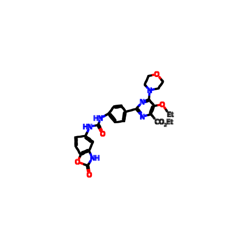 CCOC(=O)c1nc(-c2ccc(NC(=O)Nc3ccc4oc(=O)[nH]c4c3)cc2)nc(N2CCOCC2)c1OCC